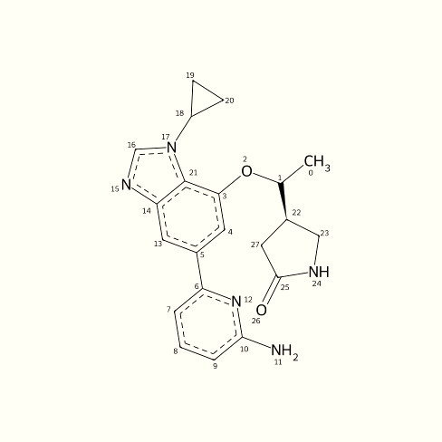 CC(Oc1cc(-c2cccc(N)n2)cc2ncn(C3CC3)c12)[C@H]1CNC(=O)C1